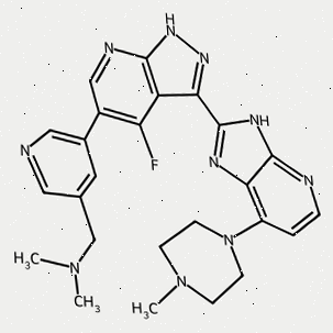 CN(C)Cc1cncc(-c2cnc3[nH]nc(-c4nc5c(N6CCN(C)CC6)ccnc5[nH]4)c3c2F)c1